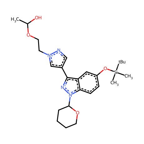 CC(O)OCCn1cc(-c2nn(C3CCCCO3)c3ccc(O[Si](C)(C)C(C)(C)C)cc23)cn1